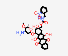 CO[C@@H]1[C@H](C)O[C@@H](O[C@H]2C[C@](O)(COC(=O)NCc3ccccc3[N+](=O)[O-])Cc3c(O)c4c(c(O)c32)C(=O)c2ccccc2C4=O)C[C@@H]1N